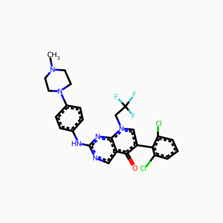 CN1CCN(c2ccc(Nc3ncc4c(=O)c(-c5c(Cl)cccc5Cl)cn(CC(F)(F)F)c4n3)cc2)CC1